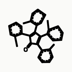 Cc1ccccc1C1=C(c2ccccc2C)C(c2ccccc2C)=C(c2ccccc2C)C1=O